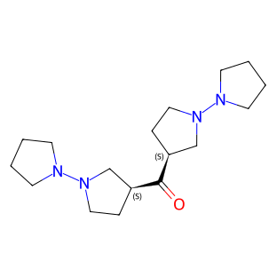 O=C([C@H]1CCN(N2CCCC2)C1)[C@H]1CCN(N2CCCC2)C1